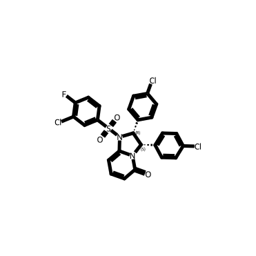 O=c1cccc2n1[C@@H](c1ccc(Cl)cc1)[C@@H](c1ccc(Cl)cc1)N2S(=O)(=O)c1ccc(F)c(Cl)c1